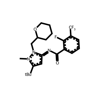 Cn1c(C(C)(C)C)cc(=NC(=O)c2cccc(C(F)(F)F)c2F)n1CC1CCCCO1